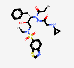 CC(C)CC(=O)N(NC(=O)CNC1CC1)[C@@H](Cc1ccccc1)[C@H](O)CN(CC(C)C)S(=O)(=O)c1ccc2ncsc2c1